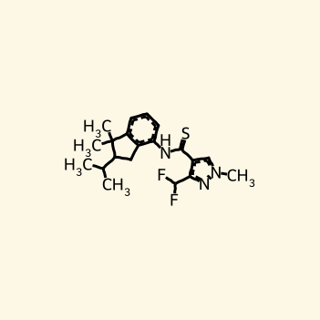 CC(C)C1Cc2c(NC(=S)c3cn(C)nc3C(F)F)cccc2C1(C)C